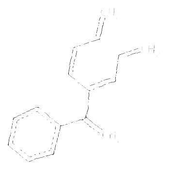 C=C/C=C\C(=C/C=C)C(=C)c1ccccc1